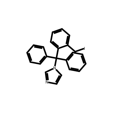 ICc1ccccc1C(c1ccccc1)(c1ccccc1)n1ccnc1